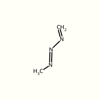 C=NN=NC